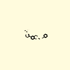 CC(C)(C)OC(=O)N1C=C(c2ccc3c(c2)CCN(C(=O)OCc2ccccc2)C3)CCC1